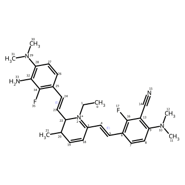 CC[N+]1=C(/C=C/c2ccc(N(C)C)c(C#N)c2F)C=CC(C)C1/C=C/c1ccc(N(C)C)c(N)c1F